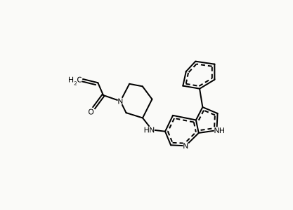 C=CC(=O)N1CCCC(Nc2cnc3[nH]cc(-c4ccccc4)c3c2)C1